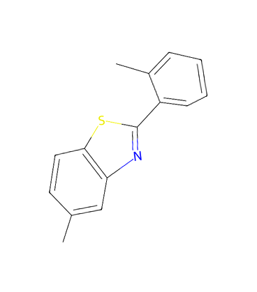 Cc1ccc2sc(-c3ccccc3C)nc2c1